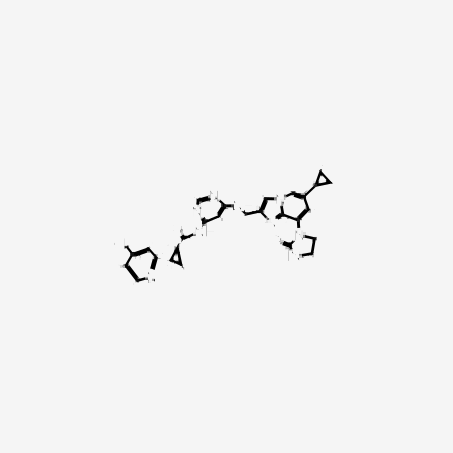 O=C(Nc1cc(NCc2cn3cc(C4CC4)cc(N4CCNC4=O)c3n2)ncn1)[C@H]1C[C@@H]1c1cc(Cl)ccn1